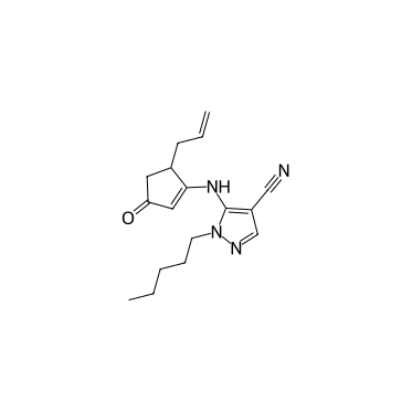 C=CCC1CC(=O)C=C1Nc1c(C#N)cnn1CCCCC